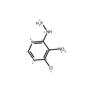 O=[N+]([O-])c1c(Cl)ncnc1NP